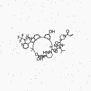 C=CC(=O)N1CC[C@H](C(=O)N(C)[C@H](C(=O)N[C@H]2Cc3cc(O)cc(c3)-c3ccc4c(c3)c(c(-c3cccnc3[C@@H](OC)C(F)(F)F)n4CC)CC(C)(C)COC(O)N[C@@H]3CCCN(N3)C2=O)C(C)C)C1